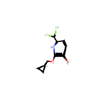 FC(F)c1ccc(Br)c(OCC2CC2)n1